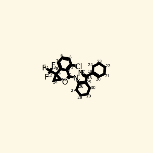 O=C(c1c(Cl)cccc1C1(C(F)(F)F)CC1)n1nc(C2=CCCCC2)c2c1CCCC2